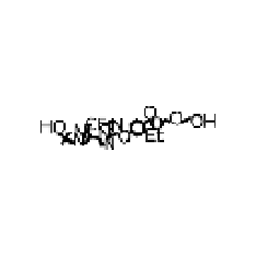 CCc1cc(Oc2nccn3c(-c4cn(CC(C)(C)CO)nc4C(F)(F)F)cnc23)ccc1C(=O)OCCOCCO